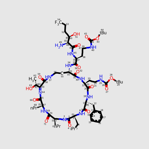 CCC[C@@H]1NC(=O)[C@H](CC(C)C)NC(=O)[C@@H](Cc2ccccc2)NC(=O)[C@H](CCNC(=O)OC(C)(C)C)NC(=O)[C@@H](NC(=O)[C@H](CCNC(=O)OC(C)(C)C)NC(=O)[C@@H](N)[C@H](O)CCC(F)(F)F)CCNC(=O)[C@H]([C@@H](C)O)NC(=O)[C@H](CCC)NC1=O